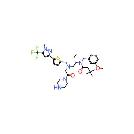 CC[C@@H](CN(CC(=O)N1CCNCC1)Cc1ccc(-c2cc(C(F)(F)F)n(C)n2)s1)N(Cc1cccc(OC)c1)C(=O)CC(C)(C)C